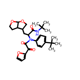 CC(C)(C)NC(=O)C(CC1COC2OCCC12)N(C(=O)C(=O)c1ccco1)c1ccc(C(C)(C)C)cc1